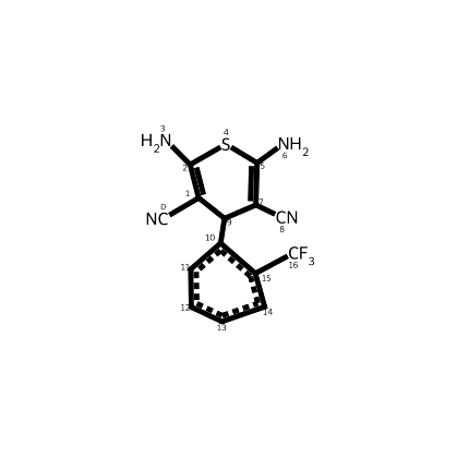 N#CC1=C(N)SC(N)=C(C#N)C1c1ccccc1C(F)(F)F